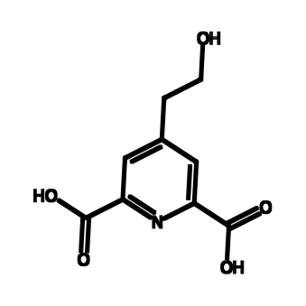 O=C(O)c1cc(CCO)cc(C(=O)O)n1